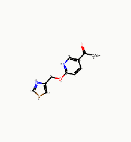 COC(=O)c1ccc(OCc2cscn2)nc1